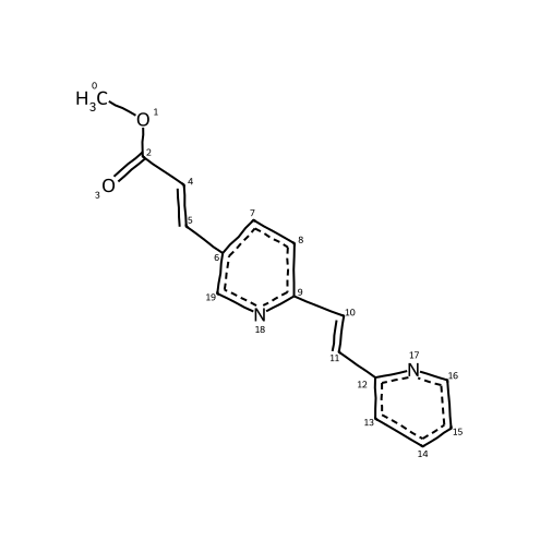 COC(=O)/C=C/c1ccc(/C=C/c2ccccn2)nc1